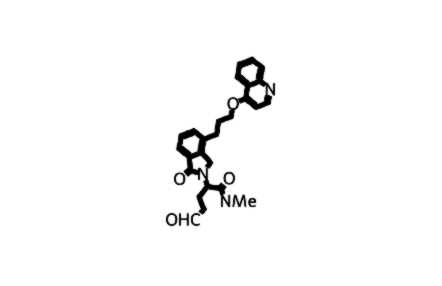 CNC(=O)C(CCC=O)N1Cc2c(CCCOc3ccnc4ccccc34)cccc2C1=O